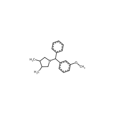 COc1cccc(C(c2ccccc2)N2CC(C)C(C)C2)c1